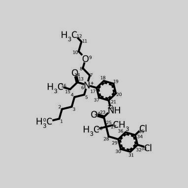 CCCCCC[N+](CCOCCC)(C(=O)CC)c1cccc(NC(=O)C(C)(C)Cc2ccc(Cl)c(Cl)c2)c1